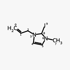 C=CCN1C=CN(C)C1I